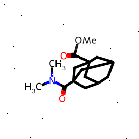 COC(=O)C12CC3CC(C1)CC(C(=O)N(C)C)(C3)C2